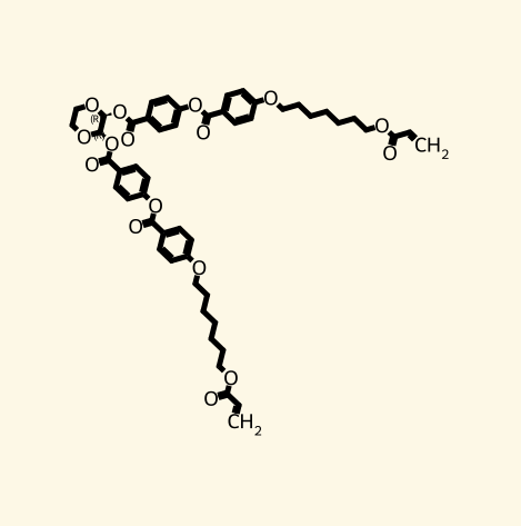 C=CC(=O)OCCCCCCCOc1ccc(C(=O)Oc2ccc(C(=O)O[C@H]3OCCO[C@@H]3OC(=O)c3ccc(OC(=O)c4ccc(OCCCCCCCOC(=O)C=C)cc4)cc3)cc2)cc1